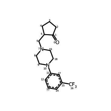 O=C1CCCC1CN1CCN(c2cccc(C(F)(F)F)c2)CC1